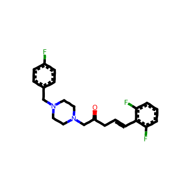 O=C(CC=Cc1c(F)cccc1F)CN1CCN(Cc2ccc(F)cc2)CC1